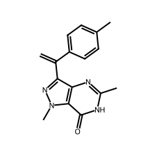 C=C(c1ccc(C)cc1)c1nn(C)c2c(=O)[nH]c(C)nc12